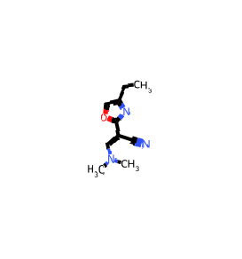 CCc1coc(C(C#N)=CN(C)C)n1